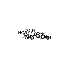 C[C@]12CC[C@H](O)C[C@H]1CC[C@@H]1[C@@H]2[C@H](O)C[C@]2(C)[C@@H](C(=O)COC3O[C@H](C(=O)O)[C@@H](O)[C@@H](O)[C@H]3O)CC[C@@H]12